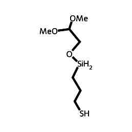 COC(CO[SiH2]CCCS)OC